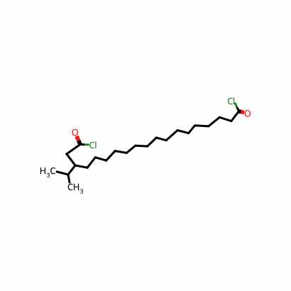 CC(C)C(CCCCCCCCCCCCCCCC(=O)Cl)CC(=O)Cl